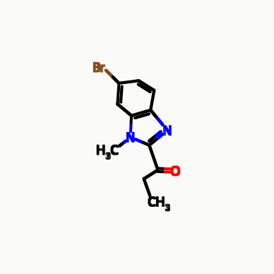 CCC(=O)c1nc2ccc(Br)cc2n1C